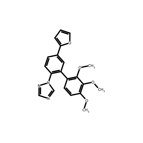 COc1c[c]c(-c2cc(-c3ccco3)ccc2-n2cncn2)c(OC)c1OC